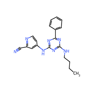 CCCCNc1nc(Nc2ccnc(C#N)c2)nc(-c2ccccc2)n1